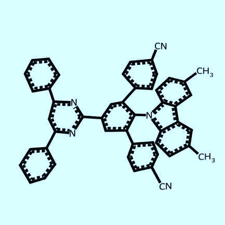 Cc1ccc2c(c1)c1cc(C)ccc1n2-c1c(-c2ccc(C#N)cc2)cc(-c2nc(-c3ccccc3)cc(-c3ccccc3)n2)cc1-c1ccc(C#N)cc1